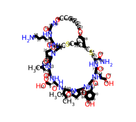 CC[C@H](C)[C@@H]1NC(=O)[C@H](CC(=O)O)NC(=O)[C@H](CC(C)C)NC(=O)[C@@H]2CCCN2C(=O)[C@@H]2CSCc3cc(cc(c3)OCCCCCCO/N=C/C(=O)N[C@@H](CCCCN)C(=O)N2)CSC[C@@H](C(N)=O)NC(=O)[C@H](CCC(=O)O)NC(=O)[C@H](Cc2ccc(O)cc2)NC(=O)[C@@H]2CCCN2C1=O